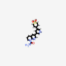 NC(=O)N1CCCc2cc(-c3cncc(C4CCS(=O)(=O)CC4)c3)cnc21